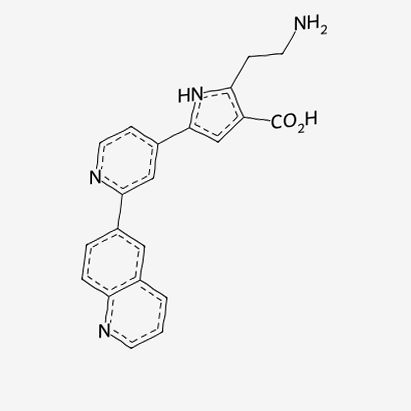 NCCc1[nH]c(-c2ccnc(-c3ccc4ncccc4c3)c2)cc1C(=O)O